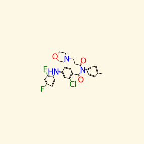 Cc1ccc(N(C(=O)CCN2CCOCC2)C(=O)c2ccc(Nc3ccc(F)cc3F)cc2Cl)cc1